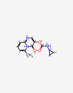 Cc1cccc2ncc(OC(=O)NC3CC3)c(=O)n12